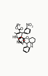 CC1=C(C(=O)OC(C)C)C(c2cccc([N+](=O)[O-])c2)C(C(=O)OC2CCCNC2C(c2ccccc2)c2ccccc2)=C(N)N1